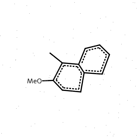 COc1ccc2[c]cccc2c1C